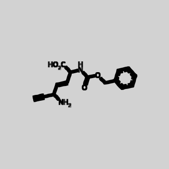 C#CC(N)C=CC(NC(=O)OCc1ccccc1)C(=O)O